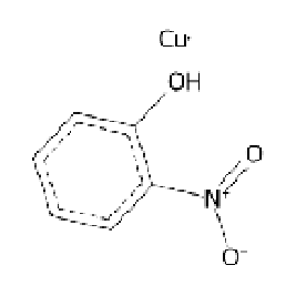 O=[N+]([O-])c1ccccc1O.[Cu]